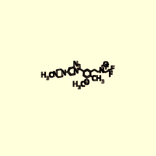 COc1cc(-c2cnc3cc(N4CCN(C)CC4)ccn23)cc(CCN(C=O)CC(F)(F)F)c1C